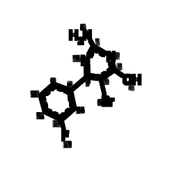 Nc1nc(O)c(Br)c(-c2cccc(F)c2)n1